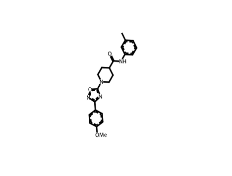 COc1ccc(-c2noc(N3CCC(C(=O)Nc4cccc(C)c4)CC3)n2)cc1